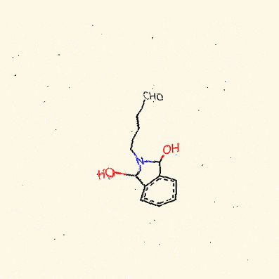 O=CCCCN1C(O)c2ccccc2C1O